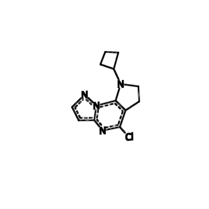 Clc1nc2ccnn2c2c1CCN2C1CCC1